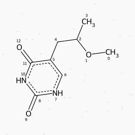 COC(C)Cc1c[nH]c(=O)[nH]c1=O